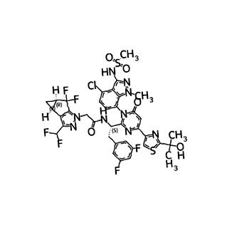 Cn1nc(NS(C)(=O)=O)c2c(Cl)ccc(-n3c([C@H](Cc4cc(F)cc(F)c4)NC(=O)Cn4nc(C(F)F)c5c4C(F)(F)[C@@H]4C[C@H]54)nc(-c4csc(C(C)(C)O)n4)cc3=O)c21